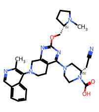 Cc1ncc2ccccc2c1N1CCc2c(nc(OC[C@@H]3CCCN3C)nc2N2CCN(C(=O)O)[C@@H](CC#N)C2)C1